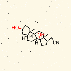 C[C@]12CC[C@H](O)C[C@H]1CC[C@@H]1[C@@H]2CC[C@]2(C)[C@@H](CC#N)CC[C@]12O